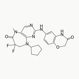 CN1C(=O)C(F)(F)CN(C2CCCC2)c2nc(Nc3ccc4c(c3)NC(=O)CO4)ncc21